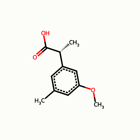 COc1cc(C)cc([C@@H](C)C(=O)O)c1